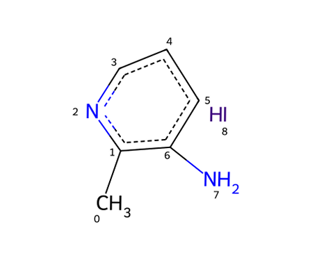 Cc1ncccc1N.I